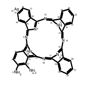 Nc1ccc2c3nc4nc(nc5[nH]c(nc6nc(nc([nH]3)c2c1N)-c1ccccc1-6)c1ccccc51)-c1ccccc1-4.[Ag]